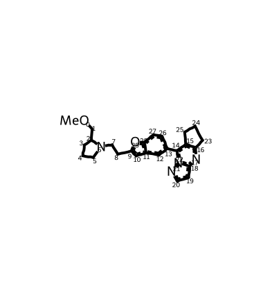 COCC1CCCN1CCc1cc2cc(-c3c4c(nc5ccnn35)CCC4)ccc2o1